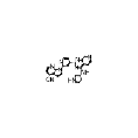 N#Cc1ccnc2c1ccn2-c1cc(-c2nc(NC3CCNC3)c3ccncc3n2)ccn1